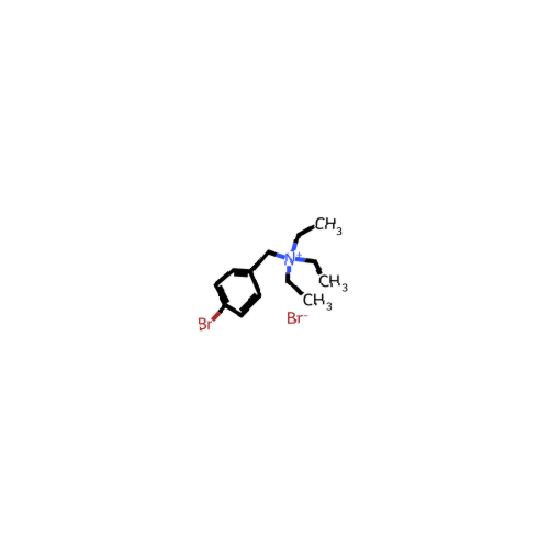 CC[N+](CC)(CC)Cc1ccc(Br)cc1.[Br-]